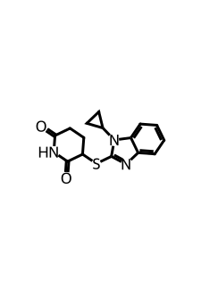 O=C1CCC(Sc2nc3ccccc3n2C2CC2)C(=O)N1